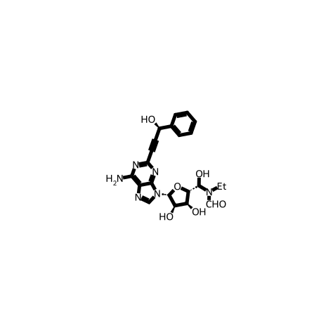 CCN(C=O)C(O)[C@H]1O[C@@H](n2cnc3c(N)nc(C#C[C@@H](O)c4ccccc4)nc32)[C@H](O)[C@@H]1O